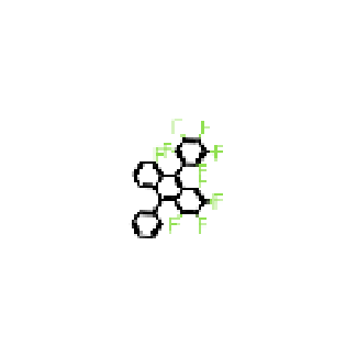 Fc1c(F)c(F)c(-c2c3c(F)cccc3c(-c3ccccc3)c3c(F)c(F)c(F)c(F)c23)c(F)c1F